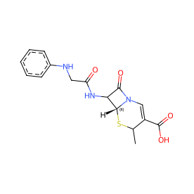 CC1S[C@@H]2C(NC(=O)CNc3ccccc3)C(=O)N2C=C1C(=O)O